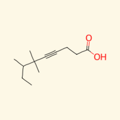 CCC(C)C(C)(C)C#CCCC(=O)O